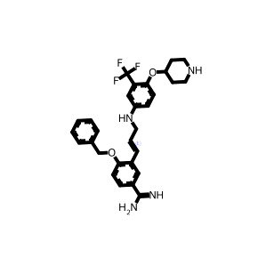 N=C(N)c1ccc(OCc2ccccc2)c(/C=C/CNc2ccc(OC3CCNCC3)c(C(F)(F)F)c2)c1